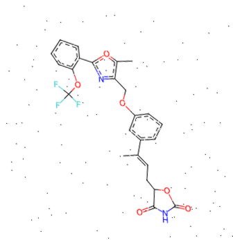 CC(=CCC1OC(=O)NC1=O)c1cccc(OCc2nc(-c3ccccc3OC(F)(F)F)oc2C)c1